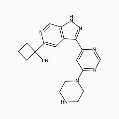 N#CC1(c2cc3c(-c4cc(N5CCNCC5)ncn4)n[nH]c3cn2)CCC1